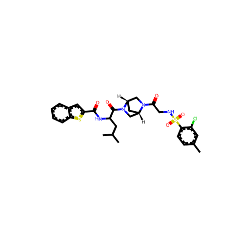 Cc1ccc(S(=O)(=O)NCC(=O)N2C[C@@H]3C[C@H]2CN3C(=O)C(CC(C)C)NC(=O)c2cc3ccccc3s2)c(Cl)c1